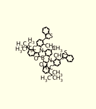 Cc1cc2c3c(c1)N(c1c(C)ccc(-c4csc5ccccc45)c1C)c1c(oc4ccc(C(C)(C)C)cc14)B3c1oc3ccc(C(C)(C)C)cc3c1N2c1c(C)ccc(-c2csc3ccccc23)c1C